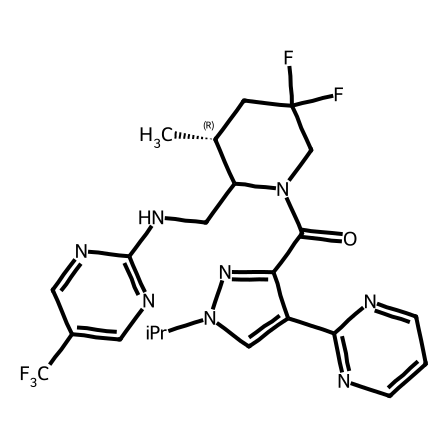 CC(C)n1cc(-c2ncccn2)c(C(=O)N2CC(F)(F)C[C@@H](C)C2CNc2ncc(C(F)(F)F)cn2)n1